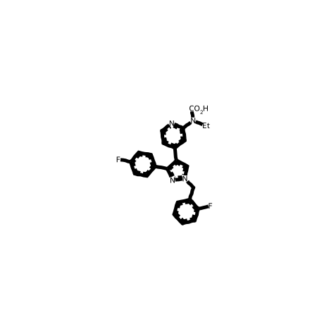 CCN(C(=O)O)c1cc(-c2cn(Cc3ccccc3F)nc2-c2ccc(F)cc2)ccn1